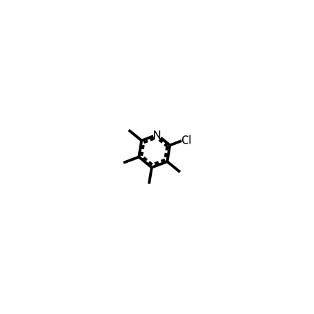 Cc1nc(Cl)c(C)c(C)c1C